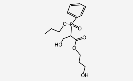 CCCOP(=O)(c1ccccc1)C(CO)C(=O)OCCCO